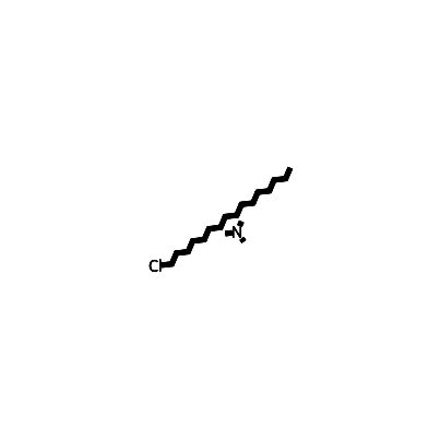 CCCCCCCCCCCCCCCCCl.CN(C)C